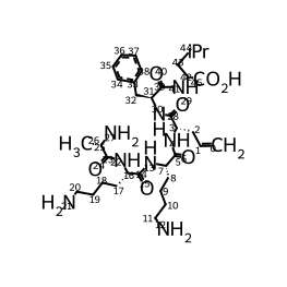 C=CC[C@H](NC(=O)[C@H](CCCCN)NC(=O)[C@H](CCCCN)NC(=O)[C@H](C)N)C(=O)N[C@@H](Cc1ccccc1)C(=O)N[C@@H](CC(C)C)C(=O)O